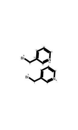 BrCc1cccnc1.BrCc1cccnc1